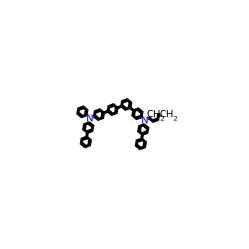 C=C/C=C\C(=C)N(c1ccc(-c2ccccc2)cc1)c1ccc(-c2cccc(-c3ccc(-c4ccc(N(c5ccccc5)c5ccc(-c6ccccc6)cc5)cc4)cc3)c2)cc1